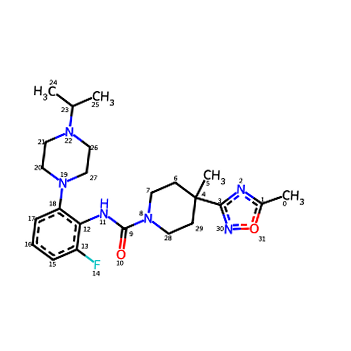 Cc1nc(C2(C)CCN(C(=O)Nc3c(F)cccc3N3CCN(C(C)C)CC3)CC2)no1